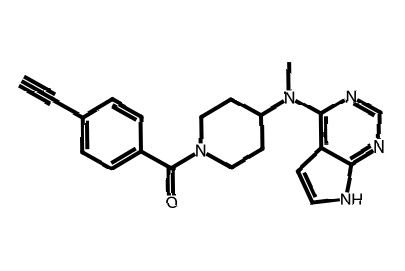 C#Cc1ccc(C(=O)N2CCC(N(C)c3ncnc4[nH]ccc34)CC2)cc1